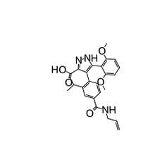 C=CCNC(=O)c1ccc(-c2c(C(=O)O)n[nH]c2-c2c(OC)cccc2OC)c(C(C)C)c1